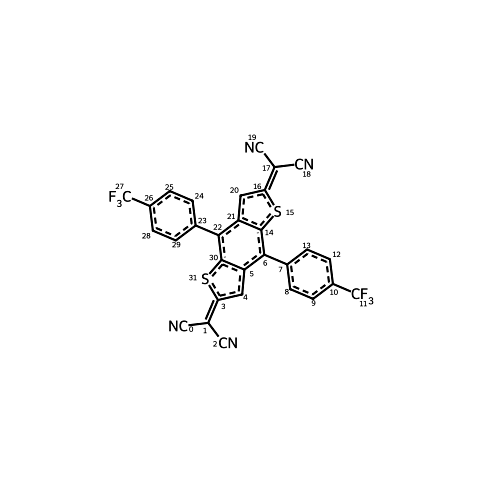 N#CC(C#N)=c1cc2c(-c3ccc(C(F)(F)F)cc3)c3sc(=C(C#N)C#N)cc3c(-c3ccc(C(F)(F)F)cc3)c2s1